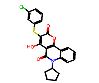 O=c1oc2c(c(O)c1Sc1cccc(Cl)c1)c(=O)n(C1CCCC1)c1ccccc21